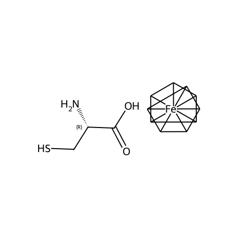 N[C@@H](CS)C(=O)O.[CH]12[CH]3[CH]4[CH]5[CH]1[Fe]23451678[CH]2[CH]1[CH]6[CH]7[CH]28